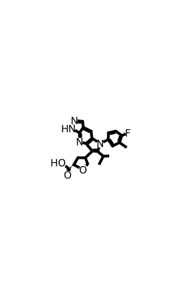 Cc1cc(-n2c(C(C)C)c(C3CO[C@H](C(=O)O)C3)c3nc4[nH]ncc4cc32)ccc1F